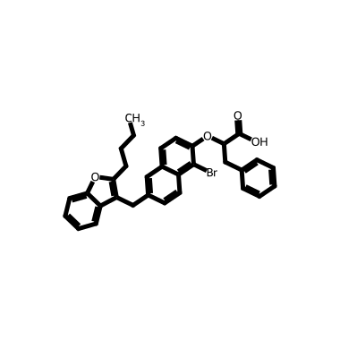 CCCCc1oc2ccccc2c1Cc1ccc2c(Br)c(OC(Cc3ccccc3)C(=O)O)ccc2c1